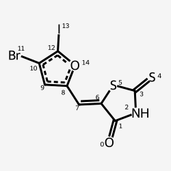 O=C1NC(=S)SC1=Cc1cc(Br)c(I)o1